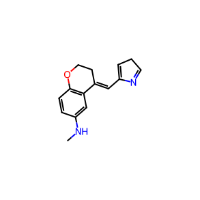 CNc1ccc2c(c1)/C(=C/C1=CCC=N1)CCO2